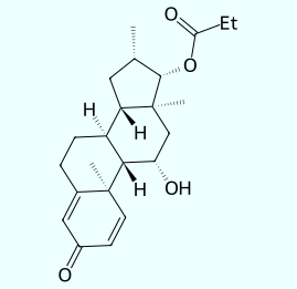 CCC(=O)O[C@H]1[C@@H](C)C[C@H]2[C@@H]3CCC4=CC(=O)C=C[C@]4(C)[C@H]3[C@@H](O)C[C@@]21C